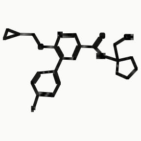 O=C(NC1(CO)CCCC1)c1cnc(OCC2CC2)c(-c2ccc(F)cc2)c1